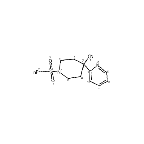 CCCS(=O)(=O)N1CCC(C#N)(c2ccccn2)CC1